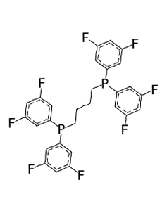 Fc1cc(F)cc(P(CCCCP(c2cc(F)cc(F)c2)c2cc(F)cc(F)c2)c2cc(F)cc(F)c2)c1